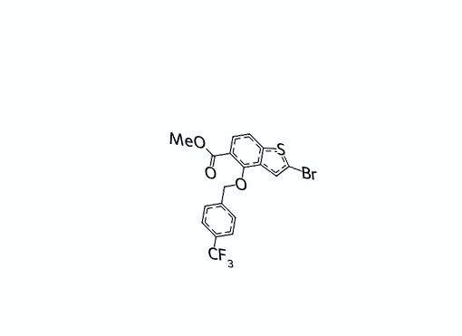 COC(=O)c1ccc2sc(Br)cc2c1OCc1ccc(C(F)(F)F)cc1